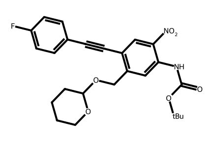 CC(C)(C)OC(=O)Nc1cc(COC2CCCCO2)c(C#Cc2ccc(F)cc2)cc1[N+](=O)[O-]